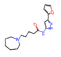 O=C(CCCCN1CCCCCC1)Nc1cc(-c2ccco2)n[nH]1